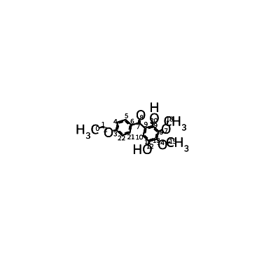 CCOc1ccc(C(=O)c2cc(O)c(OC)c(OC)c2O)cc1